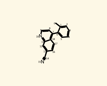 Cc1ccccc1-c1ccnc2cc(C#N)ccc12